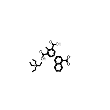 CC[N+](CC)(CC)CC.Cc1c(C(=O)O)cccc1C(=O)O.O=C([O-])c1cccc2ccccc12